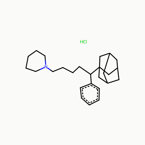 Cl.c1ccc(C(CCCCN2CCCCC2)C23CC4CC(CC(C4)C2)C3)cc1